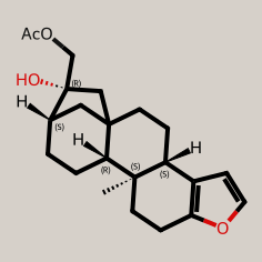 CC(=O)OC[C@@]1(O)CC23CC[C@@H]4c5ccoc5CC[C@@]4(C)[C@@H]2CC[C@H]1C3